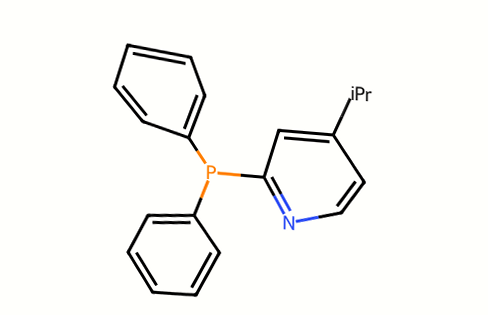 CC(C)c1ccnc(P(c2ccccc2)c2ccccc2)c1